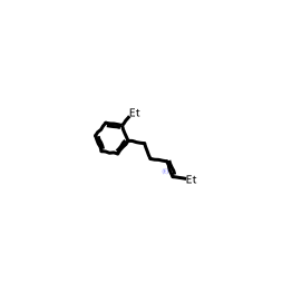 CC/C=C/CCc1ccccc1CC